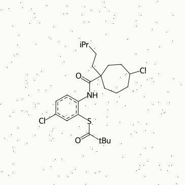 CC(C)CCC1(C(=O)Nc2ccc(Cl)cc2SC(=O)C(C)(C)C)CCCC(Cl)CC1